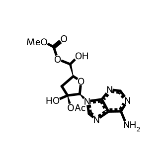 COC(=O)OC(O)[C@@H]1C[C@](O)(OC(C)=O)[C@H](n2cnc3c(N)ncnc32)O1